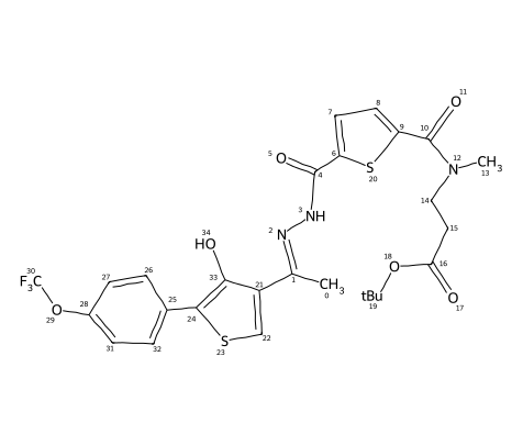 CC(=NNC(=O)c1ccc(C(=O)N(C)CCC(=O)OC(C)(C)C)s1)c1csc(-c2ccc(OC(F)(F)F)cc2)c1O